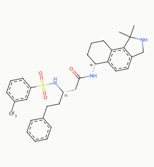 CC1(C)NCc2ccc3c(c21)CCC[C@H]3NC(=O)C[C@H](CCc1ccccc1)NS(=O)(=O)c1cccc(C(F)(F)F)c1